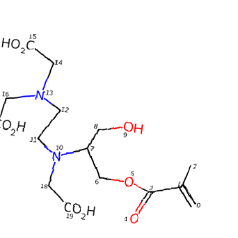 C=C(C)C(=O)OCC(CO)N(CCN(CC(=O)O)CC(=O)O)CC(=O)O